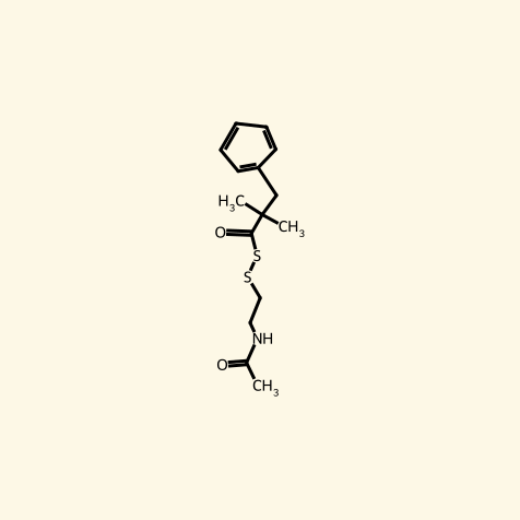 CC(=O)NCCSSC(=O)C(C)(C)Cc1ccccc1